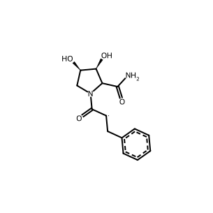 NC(=O)C1[C@H](O)[C@H](O)CN1C(=O)[CH]Cc1ccccc1